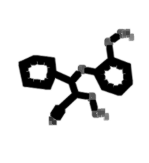 COc1ccccc1OC(c1ccccc1)C(C#N)OC